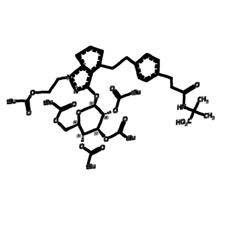 CC(C)(C)C(=O)OCCn1nc(O[C@@H]2O[C@H](COC(=O)C(C)(C)C)[C@@H](OC(=O)C(C)(C)C)[C@H](OC(=O)C(C)(C)C)[C@H]2OC(=O)C(C)(C)C)c2c(CCc3ccc(CCC(=O)NC(C)(C)C(=O)O)cc3)cccc21